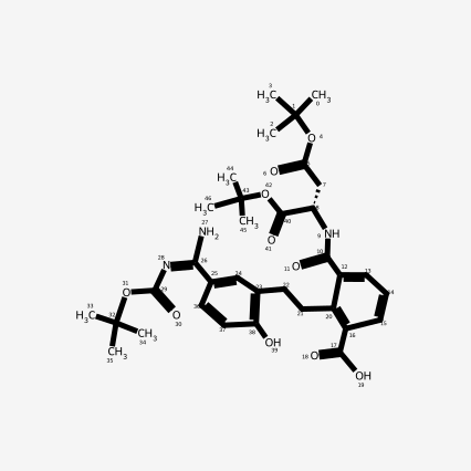 CC(C)(C)OC(=O)C[C@H](NC(=O)c1cccc(C(=O)O)c1CCc1cc(/C(N)=N\C(=O)OC(C)(C)C)ccc1O)C(=O)OC(C)(C)C